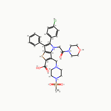 CS(=O)(=O)N1CCN(Cc2c(C(=O)O)sc3c(-c4ccccc4)c(-c4ccc(Cl)cc4)n(CC(=O)N4CCOCC4)c23)CC1